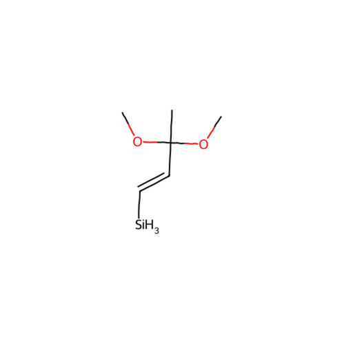 COC(C)(C=C[SiH3])OC